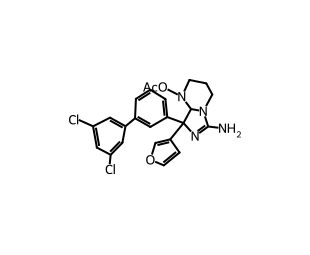 CC(=O)ON1CCCN2C(N)=NC(c3ccoc3)(c3cccc(-c4cc(Cl)cc(Cl)c4)c3)C12